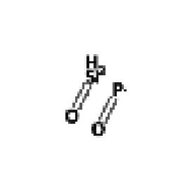 O=[P].O=[SiH2]